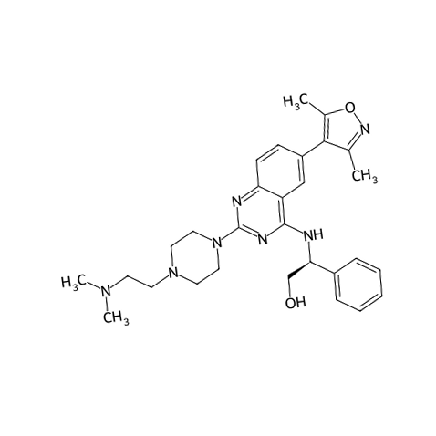 Cc1noc(C)c1-c1ccc2nc(N3CCN(CCN(C)C)CC3)nc(N[C@H](CO)c3ccccc3)c2c1